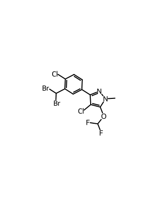 Cn1nc(-c2ccc(Cl)c(C(Br)Br)c2)c(Cl)c1OC(F)F